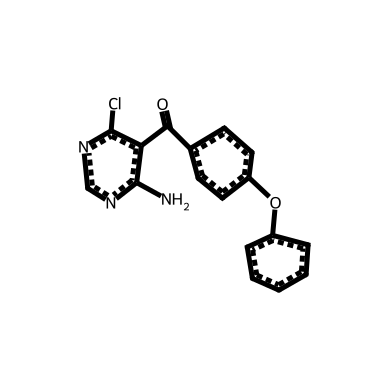 Nc1ncnc(Cl)c1C(=O)c1ccc(Oc2ccccc2)cc1